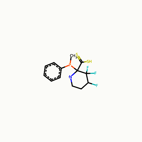 CP(c1ccccc1)C1(C(=S)S)[N]CCC(F)C1(F)F